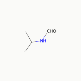 [CH2]C(C)N[C]=O